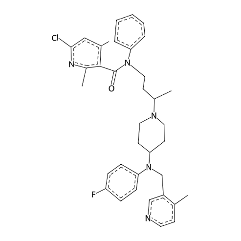 Cc1ccncc1CN(c1ccc(F)cc1)C1CCN(C(C)CCN(C(=O)c2c(C)cc(Cl)nc2C)c2ccccc2)CC1